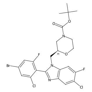 CC(C)(C)OC(=O)N1CCO[C@@H](Cn2c(-c3c(F)cc(Br)cc3Cl)nc3cc(Cl)c(F)cc32)C1